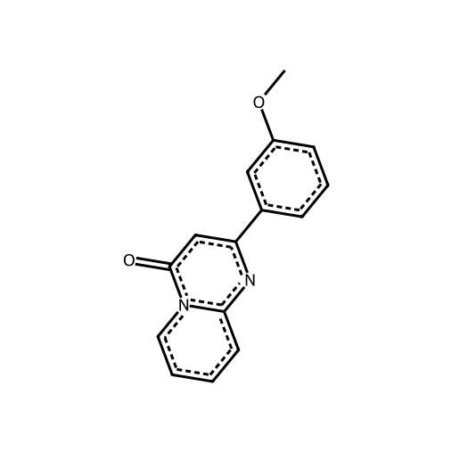 COc1cccc(-c2cc(=O)n3ccccc3n2)c1